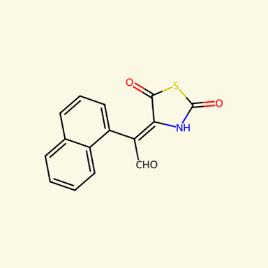 O=CC(=C1NC(=O)SC1=O)c1cccc2ccccc12